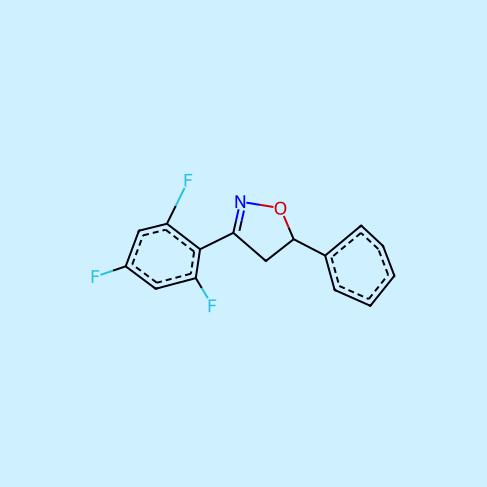 Fc1cc(F)c(C2=NOC(c3ccccc3)C2)c(F)c1